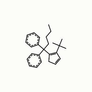 CCCCC(C1=C(C(C)(C)C)C=CC1)(c1ccccc1)c1ccccc1